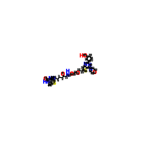 O=C(CCCC[C@@H]1SC[C@@H]2NC(=O)N[C@@H]21)CNCOCCOCCc1cc2nc(-c3cccc(O)c3)nc(N3CCOCC3)c2s1